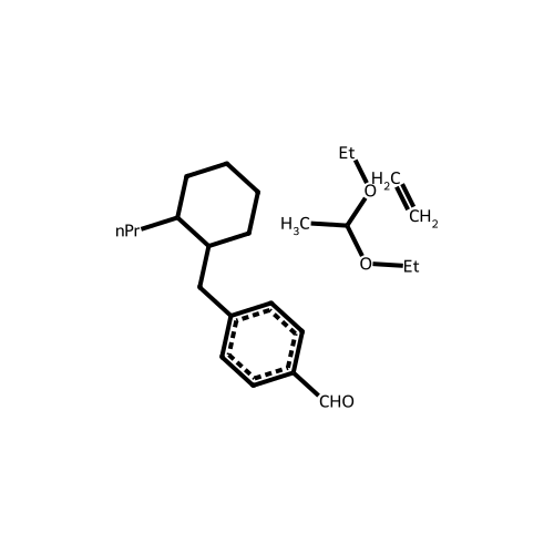 C=C.CCCC1CCCCC1Cc1ccc(C=O)cc1.CCOC(C)OCC